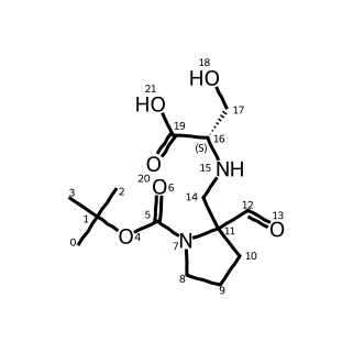 CC(C)(C)OC(=O)N1CCCC1(C=O)CN[C@@H](CO)C(=O)O